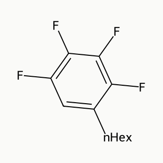 [CH2]CCCCCc1cc(F)c(F)c(F)c1F